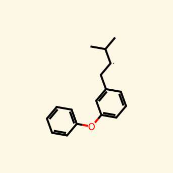 CC(C)[CH]Cc1cccc(Oc2ccccc2)c1